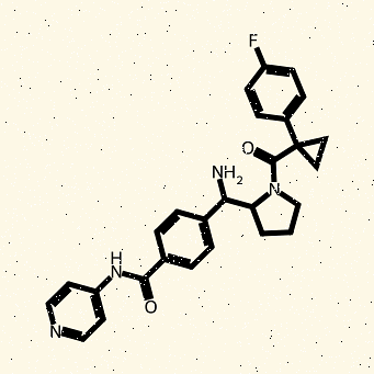 NC(c1ccc(C(=O)Nc2ccncc2)cc1)C1CCCN1C(=O)C1(c2ccc(F)cc2)CC1